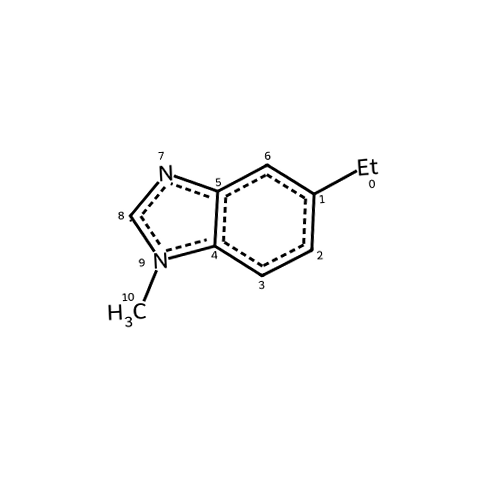 CCc1ccc2c(c1)n[c]n2C